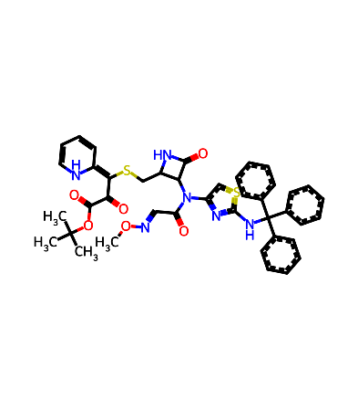 CON=CC(=O)N(c1csc(NC(c2ccccc2)(c2ccccc2)c2ccccc2)n1)C1C(=O)NC1CSC(C(=O)C(=O)OC(C)(C)C)=C1C=CC=CN1